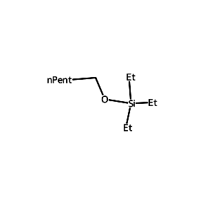 CCCCCCO[Si](CC)(CC)CC